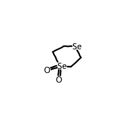 O=[Se]1(=O)CC[Se]CC1